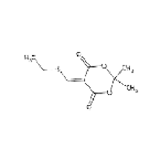 CCSC=C1C(=O)OC(C)(C)OC1=O